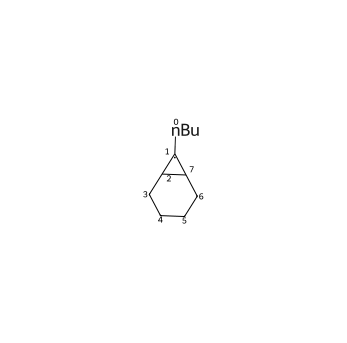 CCCC[C]1C2CCCCC12